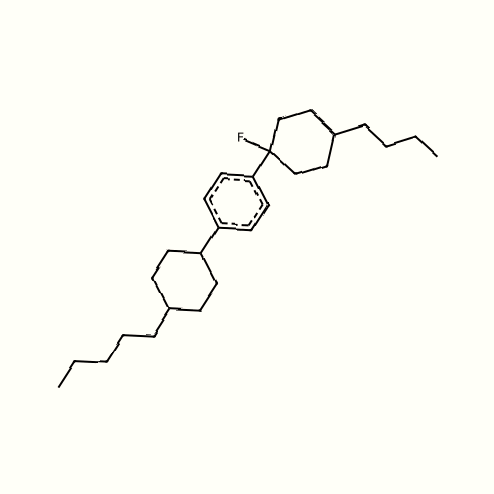 CCCCCC1CCC(c2ccc(C3(F)CCC(CCCC)CC3)cc2)CC1